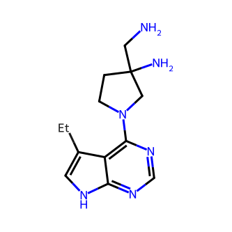 CCc1c[nH]c2ncnc(N3CCC(N)(CN)C3)c12